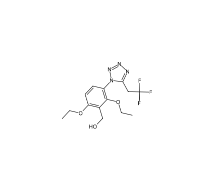 CCOc1ccc(-n2nnnc2CC(F)(F)F)c(OCC)c1CO